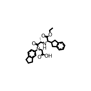 CCOC(=O)[C@@H](N[C@@H](C)C(=O)N(CC(=O)O)c1ccc2c(c1)CCC2)C1Cc2ccccc2C1